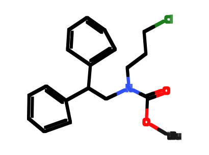 CC(C)(C)OC(=O)N(CCCCl)CC(c1ccccc1)c1ccccc1